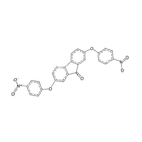 O=C1c2cc(Oc3ccc([N+](=O)[O-])cc3)ccc2-c2ccc(Oc3ccc([N+](=O)[O-])cc3)cc21